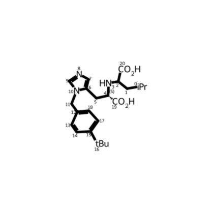 CC(C)CC(N[C@@H](Cc1cncn1Cc1ccc(C(C)(C)C)cc1)C(=O)O)C(=O)O